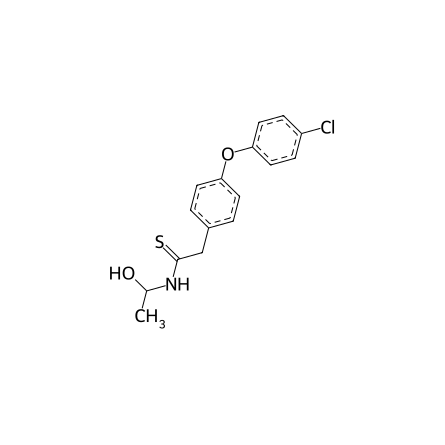 CC(O)NC(=S)Cc1ccc(Oc2ccc(Cl)cc2)cc1